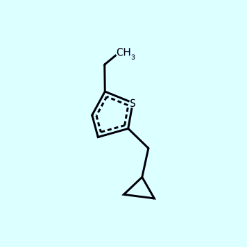 CCc1ccc(CC2CC2)s1